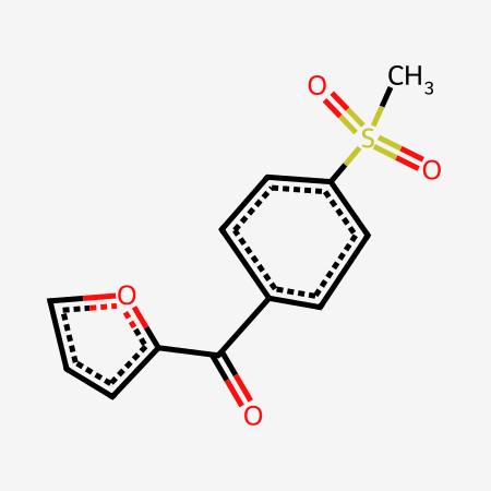 CS(=O)(=O)c1ccc(C(=O)c2ccco2)cc1